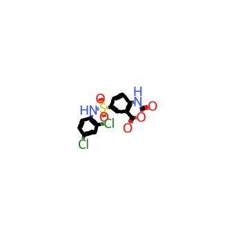 O=c1[nH]c2ccc(S(=O)(=O)Nc3ccc(Cl)cc3Cl)cc2c(=O)o1